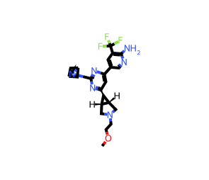 COCCN1C[C@@H]2[C@H](C1)[C@H]2c1cc(-c2cnc(N)c(C(F)(F)F)c2)nc(N2CC3CC2C3)n1